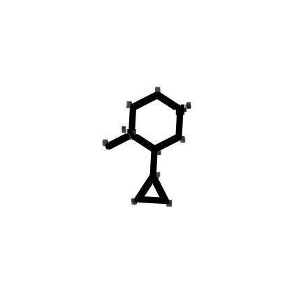 CN1CC[N]CC1C1CC1